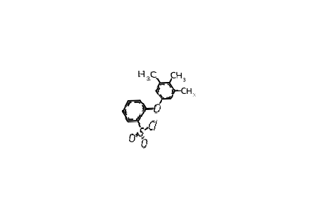 Cc1cc(Oc2ccccc2S(=O)(=O)Cl)cc(C)c1C